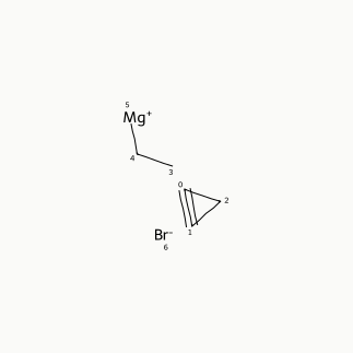 C1#CC1.C[CH2][Mg+].[Br-]